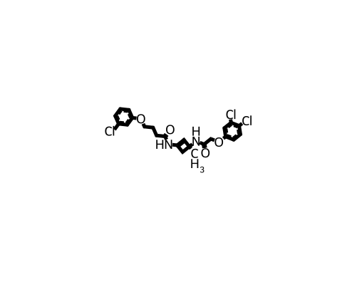 CC1(NC(=O)COc2ccc(Cl)c(Cl)c2)C=C(NC(=O)CCCOc2cccc(Cl)c2)C1